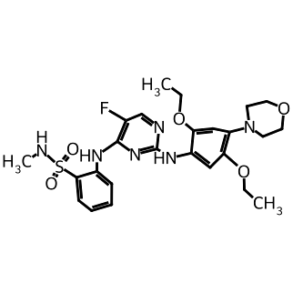 CCOc1cc(N2CCOCC2)c(OCC)cc1Nc1ncc(F)c(Nc2ccccc2S(=O)(=O)NC)n1